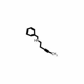 CC#CCCNCc1ccccc1